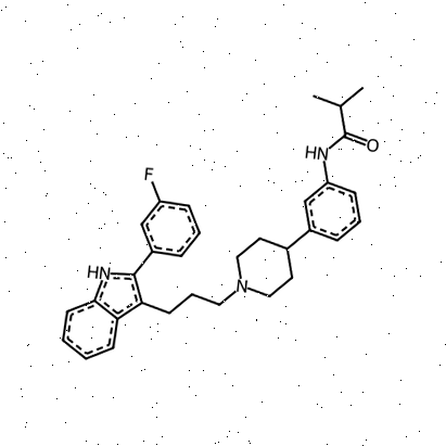 CC(C)C(=O)Nc1cccc(C2CCN(CCCc3c(-c4cccc(F)c4)[nH]c4ccccc34)CC2)c1